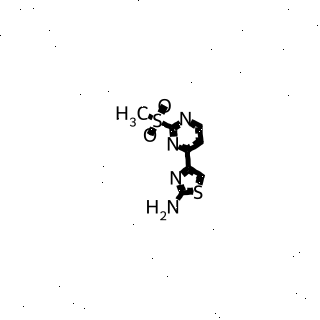 CS(=O)(=O)c1nccc(-c2csc(N)n2)n1